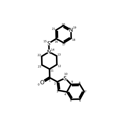 O=C(c1cc2ccccc2s1)C1CCN(Sc2ccncc2)CC1